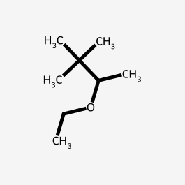 CCO[C](C)C(C)(C)C